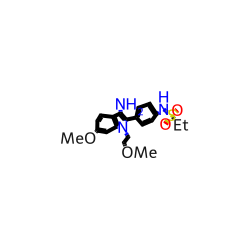 CCS(=O)(=O)Nc1ccc(-c2c(N)c3ccc(OC)cc3n2CCOC)cc1